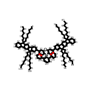 CCCCCCCCC1(CCCCCCC)c2ccccc2-c2cc3c(cc21)-c1ccc(-c2ccc4c(c2)Oc2cc(-c5ccc6c(c5)C(CCCCCCCC)(CCCCCCCC)c5cc7c(cc5-6)C(CCCCCCCC)(CCCCCCCC)c5ccccc5-7)ccc2N4c2c(-c4ccccc4)cccc2-c2ccccc2)cc1C3(CCCCCCCC)CCCCCCCC